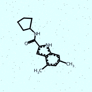 Cc1cc(C)c2cc(C(=O)NC3CCCC3)[nH]c2c1